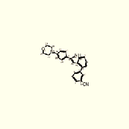 N#Cc1cccc(-c2cccc3[nH]c(-c4ccc(N5CCOCC5)cc4)cc23)c1